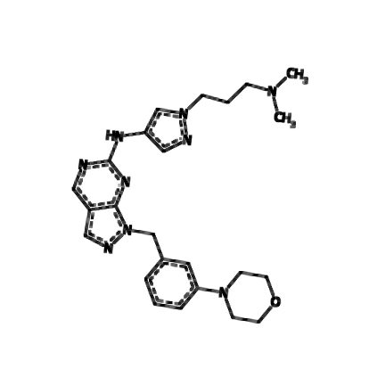 CN(C)CCCn1cc(Nc2ncc3cnn(Cc4cccc(N5CCOCC5)c4)c3n2)cn1